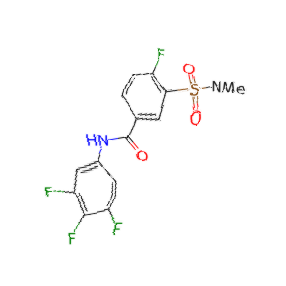 CNS(=O)(=O)c1cc(C(=O)Nc2cc(F)c(F)c(F)c2)ccc1F